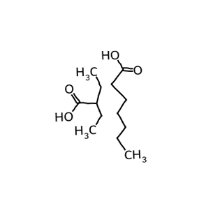 CCC(CC)C(=O)O.CCCCCCC(=O)O